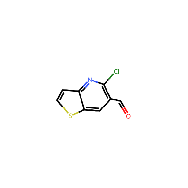 O=Cc1cc2sccc2nc1Cl